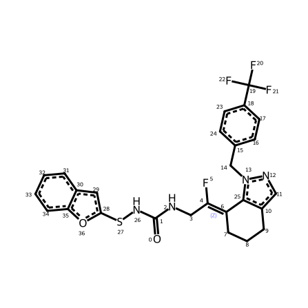 O=C(NC/C(F)=C1\CCCc2cnn(Cc3ccc(C(F)(F)F)cc3)c21)NSc1cc2ccccc2o1